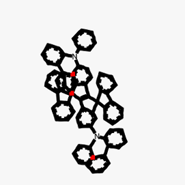 c1ccc(-c2ccccc2N(c2ccccc2)c2ccc3c(c2)C2(C4=C3C3(c5cc(N(c6ccccc6)c6ccccc6-c6ccccc6)ccc54)c4ccccc4-c4ccccc43)c3ccccc3-c3ccccc32)cc1